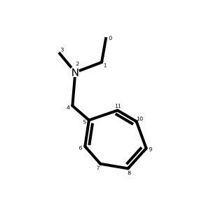 CCN(C)CC1=CCC=CC=C1